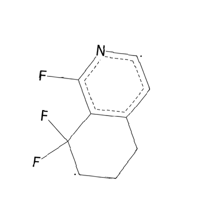 Fc1n[c]cc2c1C(F)(F)[CH]CC2